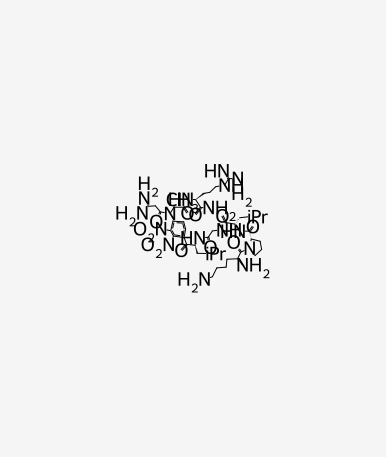 CC(C)C[C@H](NC(=O)[C@@H]1CCCN1C(=O)[C@@H](N)CCCCN)C(=O)NCC(=O)N[C@@H](CC(C)C)C(=O)c1ccc(N(C(=O)CC(N)N)[C@@H](C)C(=O)N[C@@H](CCCNC(=N)N)C(N)=O)c([N+](=O)[O-])c1[N+](=O)[O-]